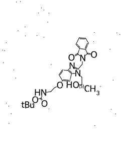 C[C@H](O)Cn1c(CN2C(=O)c3ccccc3C2=O)nc2ccc(OCCNC(=O)OC(C)(C)C)cc21